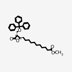 COC(=O)CCCCCCCCCC[C@H]1OC(=O)[C@@H]1COC(c1ccccc1)(c1ccccc1)c1ccccc1